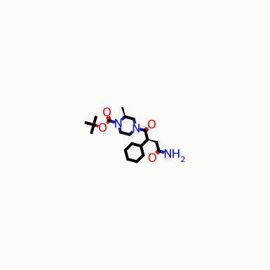 C[C@H]1CN(C(=O)[C@@H](CC(N)=O)C2CCCCC2)CCN1C(=O)OC(C)(C)C